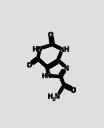 NC(=O)c1nc2[nH]c(=O)[nH]c(=O)c2[nH]1